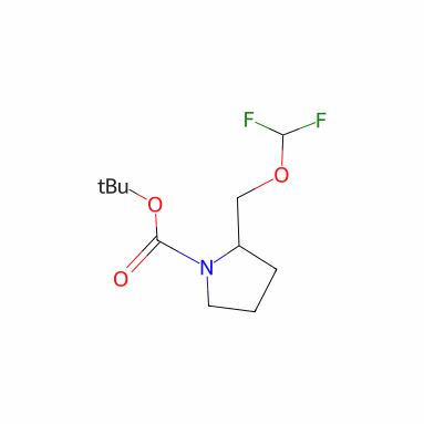 CC(C)(C)OC(=O)N1CCCC1COC(F)F